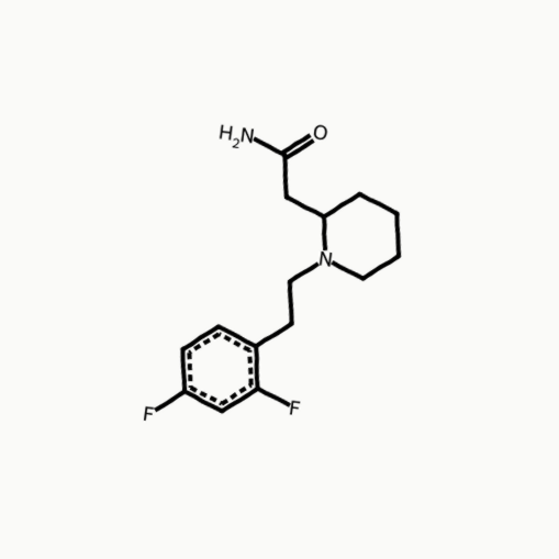 NC(=O)CC1CCCCN1CCc1ccc(F)cc1F